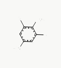 COc1c(Br)cc(N)cc1I